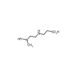 CCCN(C)CCNCCS(=O)(=O)O